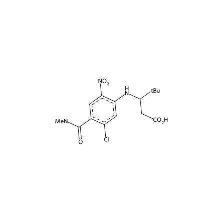 CNC(=O)c1cc([N+](=O)[O-])c(NC(CC(=O)O)C(C)(C)C)cc1Cl